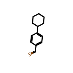 S=Cc1ccc(C2CCCCC2)cc1